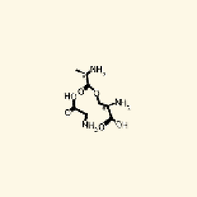 C[C@@H](N)C(=O)OC[C@@H](N)C(=O)O.NCC(=O)O